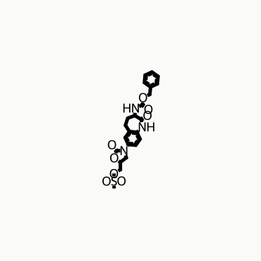 CS(=O)(=O)OCC1CN(c2ccc3c(c2)CCC(NC(=O)OCc2ccccc2)C(=O)N3)C(=O)O1